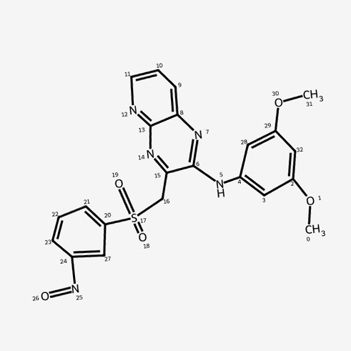 COc1cc(Nc2nc3cccnc3nc2CS(=O)(=O)c2cccc(N=O)c2)cc(OC)c1